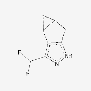 FC(F)c1n[nH]c2c1C1CC1C2